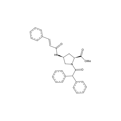 COC(=O)[C@@H]1C[C@H](NC(=O)/C=C/c2ccccc2)CN1C(=O)C(c1ccccc1)c1ccccc1